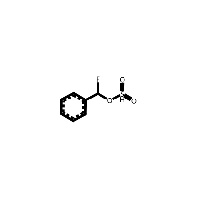 O=[SH](=O)O[C](F)c1ccccc1